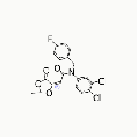 CC1(C)OC(=O)/C(=C\C(=O)N(Cc2ccc(F)cc2)c2ccc(Cl)c(Cl)c2)O1